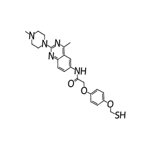 Cc1nc(N2CCN(C)CC2)nc2ccc(NC(=O)COc3ccc(OCS)cc3)cc12